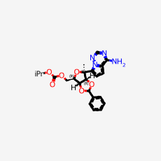 CC(C)OC(=O)OC[C@H]1O[C@@](C)(c2ccc3c(N)ncnn23)[C@@H]2OC(c3ccccc3)O[C@@H]21